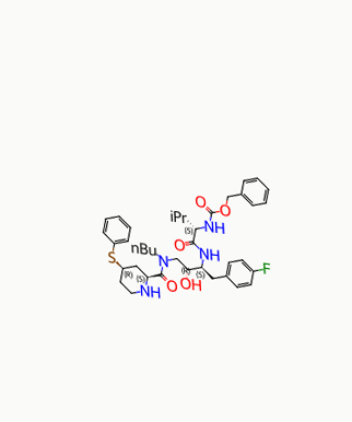 CCCCN(C[C@@H](O)[C@H](Cc1ccc(F)cc1)NC(=O)[C@@H](NC(=O)OCc1ccccc1)C(C)C)C(=O)[C@@H]1C[C@H](Sc2ccccc2)CCN1